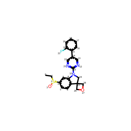 CC[S+]([O-])c1ccc2c(c1)N(c1ncc(-c3ccccc3F)cn1)CC21COC1